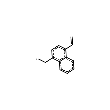 C=Cc1ccc(CCl)c2ccccc12